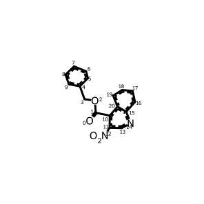 O=C(OCc1ccccc1)c1c([N+](=O)[O-])cnc2ccccc12